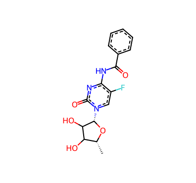 C[C@H]1O[C@@H](n2cc(F)c(NC(=O)c3ccccc3)nc2=O)C(O)C1O